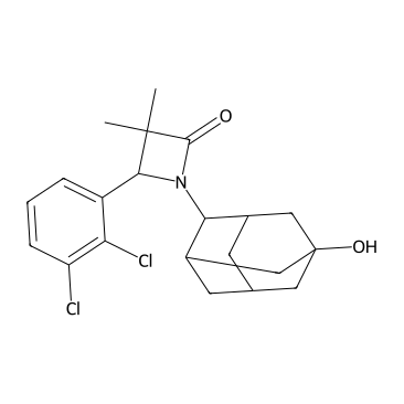 CC1(C)C(=O)N(C2C3CC4CC2CC(O)(C4)C3)C1c1cccc(Cl)c1Cl